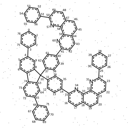 c1ccc(-c2ccc3c(c2)C(c2ccc(-c4ccc5ccc6ccc(-c7ccccc7)nc6c5n4)cc2)(c2ccc(-c4ccc5ccc6ccc(-c7ccccc7)nc6c5n4)cc2)c2cc(-c4ccccc4)ccc2-3)cc1